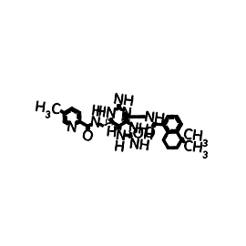 Cc1ccc(C(=O)NC[C@@H]2NC(=N)N3CC(NC(=O)c4cccc5c4CCCC5(C)C)[C@@H](O)C34NC(=N)N[C@@H]24)nc1